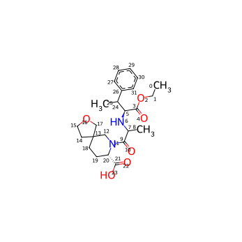 CCOC(=O)[C@@H](NC(C)C(=O)N1CC2(CCOC2)CC[C@H]1C(=O)O)C(C)c1ccccc1